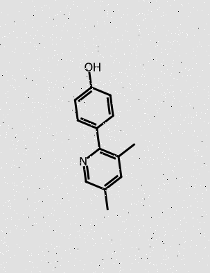 Cc1cnc(-c2ccc(O)cc2)c(C)c1